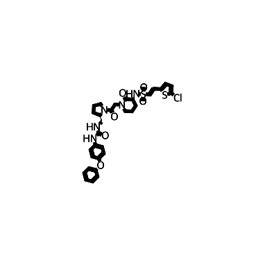 O=C(NC[C@@H]1CCCN1C(=O)CN1CCC[C@H](NS(=O)(=O)/C=C/c2ccc(Cl)s2)C1=O)Nc1ccc(Oc2ccccc2)cc1